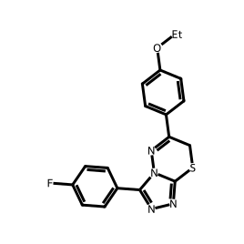 CCOc1ccc(C2=Nn3c(nnc3-c3ccc(F)cc3)SC2)cc1